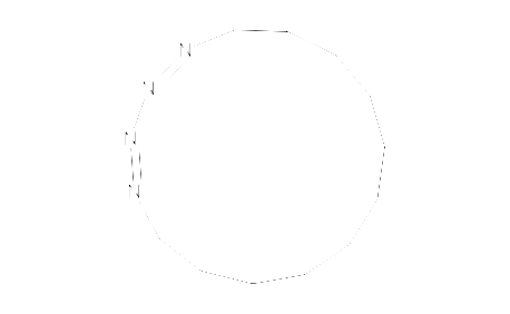 C1CCCCCN=NN=NCCCCC1